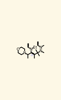 C=CN(CC)/C(=C(/C)C(C)(C)N(C)N(C)C=C)C(C)N1CCOCC1